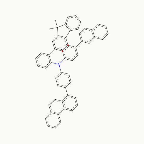 CC1(C)c2ccccc2-c2ccc(-c3ccccc3N(c3ccc(-c4ccc5ccccc5c4)cc3)c3ccc(-c4cccc5c4ccc4ccccc45)cc3)cc21